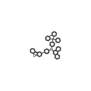 c1ccc(C2(c3ccc(N(c4ccc(-c5ccc6oc7ccccc7c6c5)cc4)c4cc5ccccc5c5ccccc45)cc3)c3ccccc3-c3ccccc32)cc1